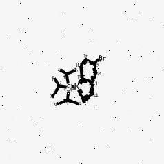 CC(C)[Si](C(C)C)(C(C)C)n1ccc2cc(Br)ccc21